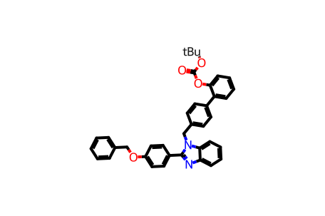 CC(C)(C)OC(=O)Oc1ccccc1-c1ccc(Cn2c(-c3ccc(OCc4ccccc4)cc3)nc3ccccc32)cc1